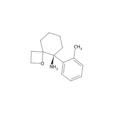 Cc1ccccc1[C@@]1(N)CCCCC12CCO2